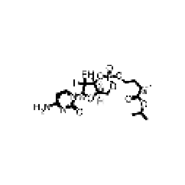 CC(C)OC(=O)[C@@H](C)CCOP1(=O)OC[C@H]2O[C@@H](n3ccc(N)nc3=O)C(F)(F)[C@@H]2O1